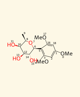 COc1cc(OC)c([C@@H]2O[C@H](C)[C@H](O)[C@H](O)[C@H]2O)c(OC)c1